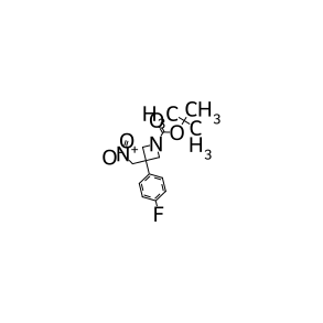 CC(C)(C)OC(=O)N1CC(C[N+](=O)[O-])(c2ccc(F)cc2)C1